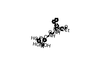 CCC(=O)N1CCN(c2nc(NCCC(=O)NCCOc3ccc(-n4c(O)nnc4-c4cc(C(C)C)c(O)cc4O)cc3)nc3c2CCN(c2cccc4ccccc24)C3)CC1